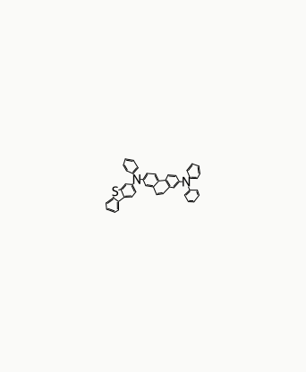 c1ccc(N(c2ccccc2)c2ccc3c(ccc4cc(N(c5ccccc5)c5ccc6c(c5)sc5ccccc56)ccc43)c2)cc1